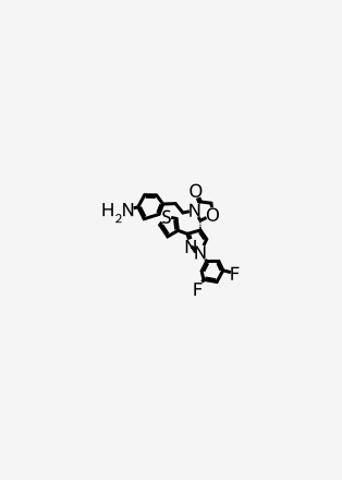 Nc1ccc(CCN2C(=O)CO[C@@H]2c2cn(-c3cc(F)cc(F)c3)nc2-c2ccsc2)cc1